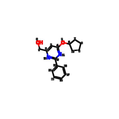 OCc1cc(OC2CCCC2)nc(-c2ccccc2)n1